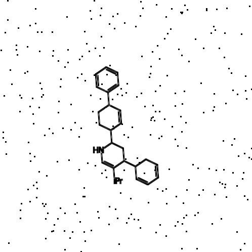 CC(C)C1=CNC(C2C=CC(c3ccccc3)CC2)CC1C1C=CC=CC1